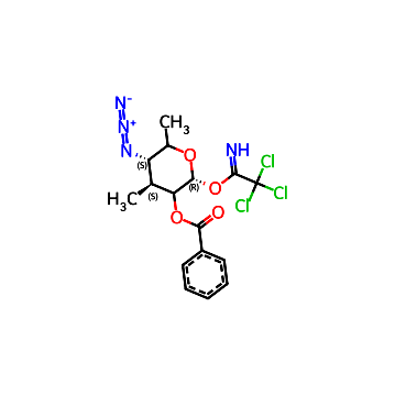 CC1O[C@H](OC(=N)C(Cl)(Cl)Cl)C(OC(=O)c2ccccc2)[C@@H](C)[C@@H]1N=[N+]=[N-]